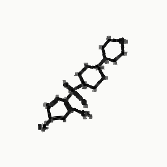 Cc1cc(C(F)(F)F)ncc1S(=O)(=O)N1CCN(C2CCOCC2)CC1